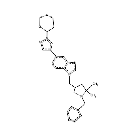 CC1(C)CC(Cn2cnc3cc(-c4cnn(C5CCCCO5)c4)ccc32)CN1Cc1ccccc1